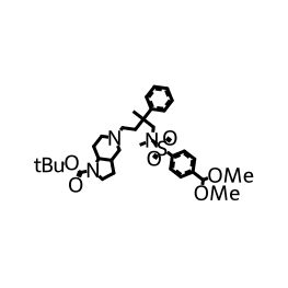 COC(OC)c1ccc(S(=O)(=O)N(C)CC(C)(CCN2CCC3C(CCN3C(=O)OC(C)(C)C)C2)c2ccccc2)cc1